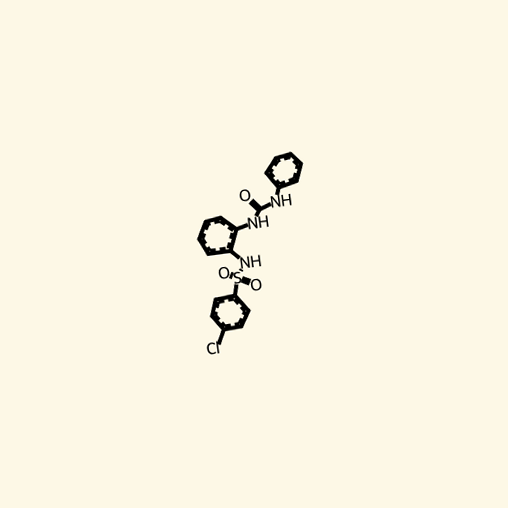 O=C(Nc1ccccc1)Nc1ccccc1NS(=O)(=O)c1ccc(Cl)cc1